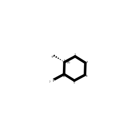 C[C@@H]1CCCCC1I